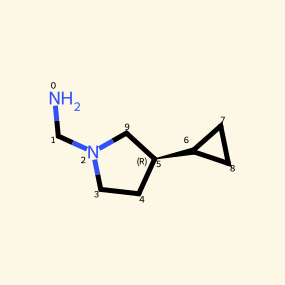 NCN1CC[C@H](C2CC2)C1